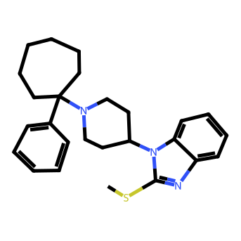 CSc1nc2ccccc2n1C1CCN(C2(c3ccccc3)CCCCCC2)CC1